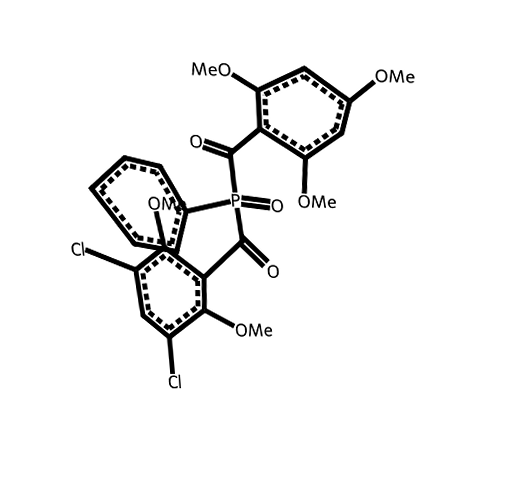 COc1cc(OC)c(C(=O)P(=O)(C(=O)c2c(OC)c(Cl)cc(Cl)c2OC)c2ccccc2)c(OC)c1